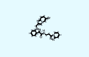 O=C(NCCc1nnc2ccccn12)c1nn(Cc2cn3cc(Br)ccc3n2)c2ccccc12